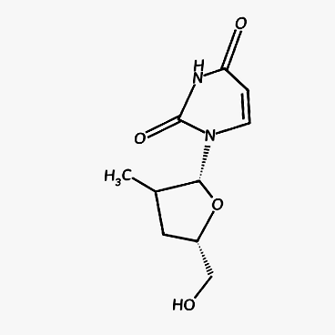 CC1C[C@@H](CO)O[C@H]1n1ccc(=O)[nH]c1=O